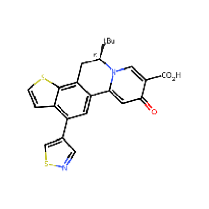 CC(C)(C)[C@@H]1Cc2c(cc(-c3cnsc3)c3ccsc23)-c2cc(=O)c(C(=O)O)cn21